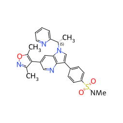 CNS(=O)(=O)c1ccc(-c2cn([C@@H](C)c3ccccn3)c3cc(-c4c(C)noc4C)cnc23)cc1